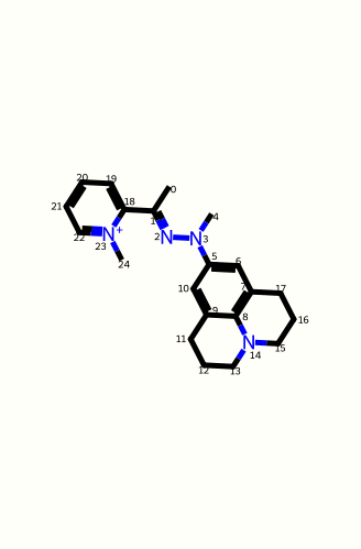 C/C(=N\N(C)c1cc2c3c(c1)CCCN3CCC2)c1cccc[n+]1C